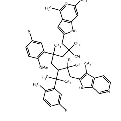 COc1ccc(F)cc1C(C)(CC(C(C)(C)c1cc(F)ccc1C)C(O)(Cc1[nH]c2cnccc2c1C)C(F)(F)F)CC(O)(Cc1cc2c(C)nc(C)cc2[nH]1)C(F)(F)F